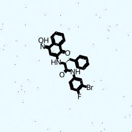 O=C1C(N[C@H](Cc2ccccc2)C(=O)Nc2ccc(F)c(Br)c2)=C/C(=N/O)c2ccccc21